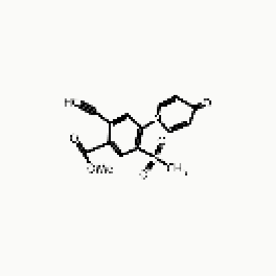 C#Cc1cc(-n2ccc(=O)cc2)c(S(C)(=O)=O)cc1C(=O)OC